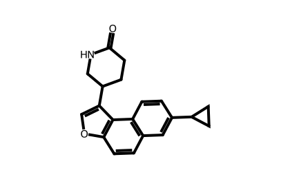 O=C1CCC(c2coc3ccc4cc(C5CC5)ccc4c23)CN1